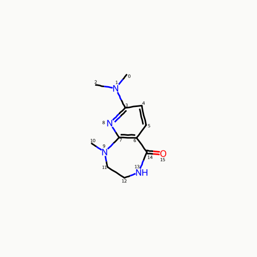 CN(C)c1ccc2c(n1)N(C)CCNC2=O